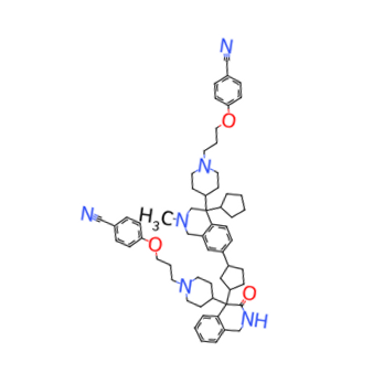 CN1Cc2cc(C3CCC(C4(C5CCN(CCCOc6ccc(C#N)cc6)CC5)C(=O)NCc5ccccc54)C3)ccc2C(C2CCCC2)(C2CCN(CCCOc3ccc(C#N)cc3)CC2)C1